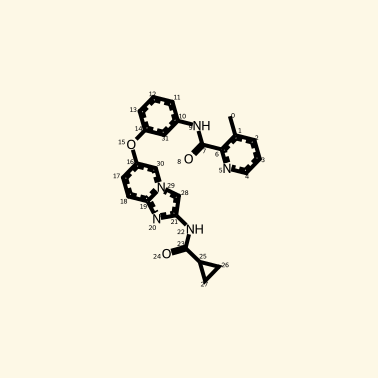 Cc1cccnc1C(=O)Nc1cccc(Oc2ccc3nc(NC(=O)C4CC4)cn3c2)c1